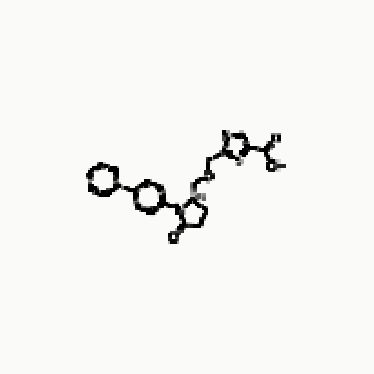 O=C(O)c1cnc(COC[C@H]2CCC(=O)N2c2ccc(-c3ccccc3)cc2)s1